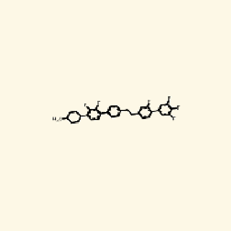 CC1CCC(c2ccc(-c3ccc(CCc4ccc(-c5cc(F)c(F)c(F)c5)c(F)c4)cc3)c(F)c2F)CC1